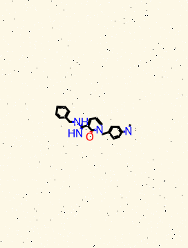 CN(C)c1ccc(Cn2cccc(C(=N)NCc3ccccc3)c2=O)cc1